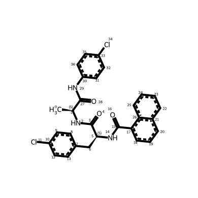 C[C@H](NC(=O)[C@H](Cc1ccc(Cl)cc1)NC(=O)c1cccc2ccccc12)C(=O)Nc1ccc(Cl)cc1